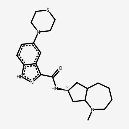 CN1CCCCC2C[C@H](NC(=O)c3n[nH]c4ccc(N5CCSCC5)cc34)CC21